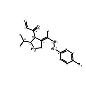 CC(NNc1ccc(F)cc1)=C1CNC(C(C)C)C1C(=O)C=O